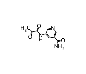 CC(=O)C(=O)Nc1cncc(C(N)=O)c1